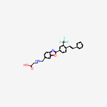 O=C(O)CCNCc1ccc2nc(-c3ccc(C=Cc4ccccc4)c(C(F)(F)F)c3)oc2c1